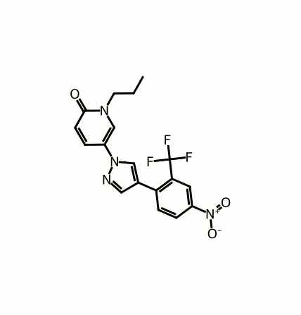 CCCn1cc(-n2cc(-c3ccc([N+](=O)[O-])cc3C(F)(F)F)cn2)ccc1=O